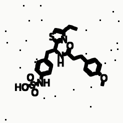 CCc1csc(C(Cc2[c]cc(NS(=O)(=O)O)cc2)NC(=O)CCc2ccc(OC)cc2)n1